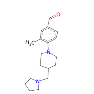 Cc1cc(C=O)ccc1N1CCC(CN2CCCC2)CC1